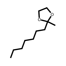 CCCCCCCC1(C)OCCO1